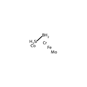 B[SiH3].[Co].[Cr].[Fe].[Mo]